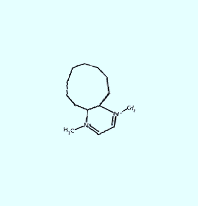 C[N+]1=CC=[N+](C)C2CCCCCCCCC21